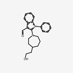 O=Cc1c(N2CCCC(CCO)CC2)n(-c2ccccc2)c2ccccc12